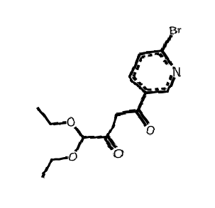 CCOC(OCC)C(=O)CC(=O)c1ccc(Br)nc1